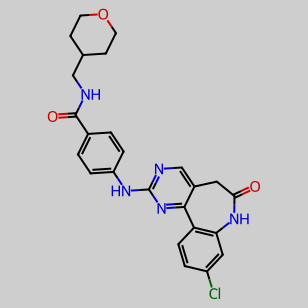 O=C1Cc2cnc(Nc3ccc(C(=O)NCC4CCOCC4)cc3)nc2-c2ccc(Cl)cc2N1